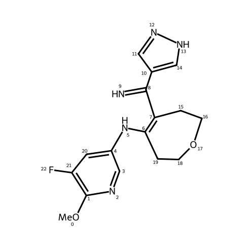 COc1ncc(NC2=C(C(=N)c3cn[nH]c3)CCOCC2)cc1F